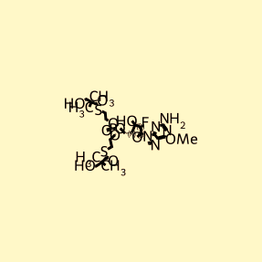 COc1nc(N)nc2c1ncn2[C@H]1O[C@H](COP(=O)(OCCSC(=O)C(C)(C)CO)OCCSC(=O)C(C)(C)CO)C(O)[C@H]1F